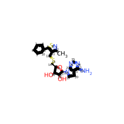 Cc1nsc(-c2ccccc2)c1CSC[C@H]1O[C@@H](n2ccc3c(N)ncnc32)[C@H](O)[C@@H]1O